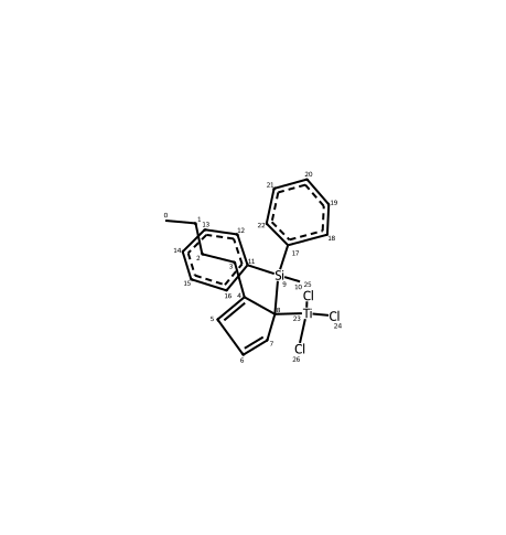 CCCCC1=CC=C[C]1([Si](C)(c1ccccc1)c1ccccc1)[Ti]([Cl])([Cl])[Cl]